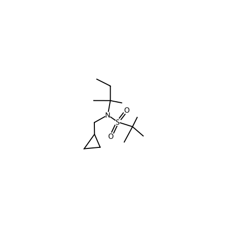 CCC(C)(C)N(CC1CC1)S(=O)(=O)C(C)(C)C